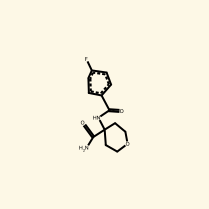 NC(=O)C1(NC(=O)c2ccc(F)cc2)CCOCC1